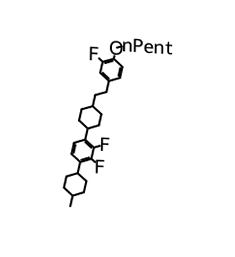 CCCCCOc1ccc(CCC2CCC(c3ccc(C4CCC(C)CC4)c(F)c3F)CC2)cc1F